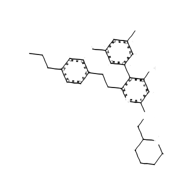 CCCc1ccc(CCc2nc(OCC3CCCCO3)cc(O)c2-c2cc(C)cc(C)c2)cc1